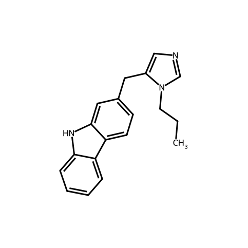 CCCn1cncc1Cc1ccc2c(c1)[nH]c1ccccc12